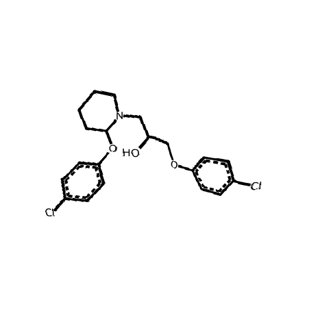 OC(COc1ccc(Cl)cc1)CN1CCCCC1Oc1ccc(Cl)cc1